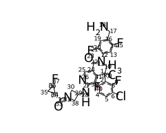 C[C@]1(c2cccc(Cl)c2F)CN(c2cc(F)c(CN)cc2F)C(=O)c2cnc(NC3CN(C(=O)[C@@H]4C[C@@H]4F)C3)c(F)c21